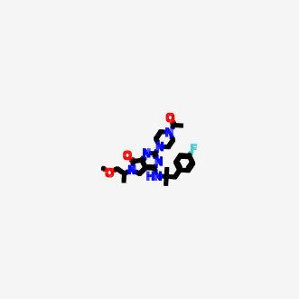 COCC(C)N1Cc2c(NC(C)(C)Cc3ccc(F)cc3)nc(N3CCN(C(C)=O)CC3)nc2C1=O